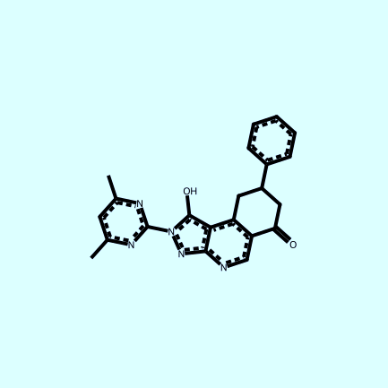 Cc1cc(C)nc(-n2nc3ncc4c(c3c2O)CC(c2ccccc2)CC4=O)n1